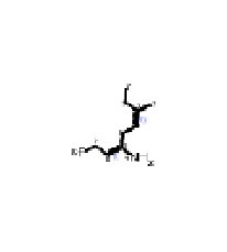 CC/C(C)=C\C/C(N)=C\CF